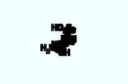 CN1CC=NC1c1cc([S+]([O-])c2ccccc2C(=O)O)ccc1Oc1c(F)cnc(Oc2cc(C(=N)N)ccc2O)c1F